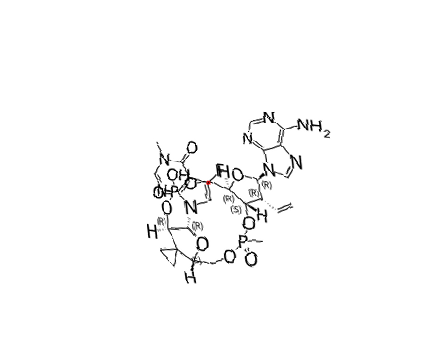 C=C[C@@H]1[C@@H]2OP(C)(=O)OC[C@H]3O[C@@H](n4cc(F)c5c(=O)n(C)cnc54)[C@H](OP(=O)(O)OC[C@H]2O[C@H]1n1cnc2c(N)ncnc21)C31CC1